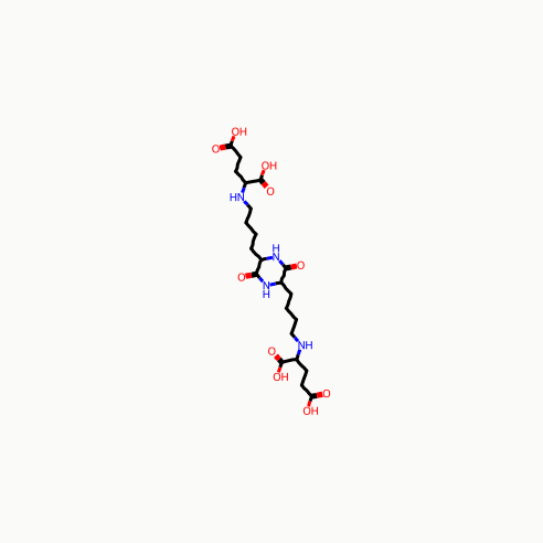 O=C(O)CCC(NCCCCC1NC(=O)C(CCCCNC(CCC(=O)O)C(=O)O)NC1=O)C(=O)O